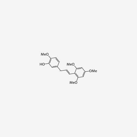 COc1cc(OC)c(/C=C/[CH]c2ccc(OC)c(O)c2)c(OC)c1